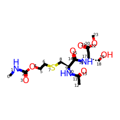 CNC(=O)OCCSC[C@H](NC(C)=O)C(=O)N[C@@H](CO)C(=O)OC